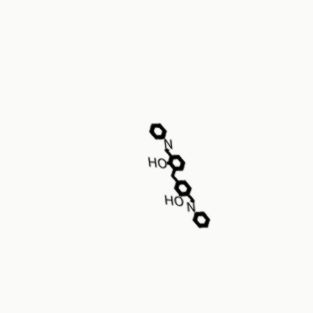 Oc1cc(Cc2cccc(/C=N/c3ccccc3)c2O)ccc1/C=N/c1ccccc1